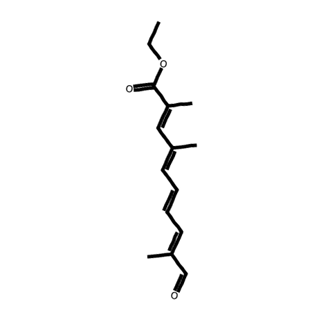 CCOC(=O)/C(C)=C/C(C)=C/C=C/C=C(\C)C=O